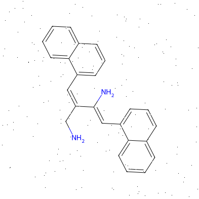 NCC(=Cc1cccc2ccccc12)C(N)=Cc1cccc2ccccc12